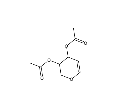 CC(=O)OC1C=COCC1OC(C)=O